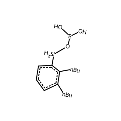 CCCCc1cccc([SiH2]OB(O)O)c1CCCC